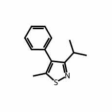 Cc1snc(C(C)C)c1-c1ccccc1